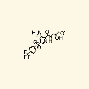 COC[C@H](O)CNC(=O)c1ncc(S(=O)(=O)c2ccc(C(F)(F)F)cc2)cc1N